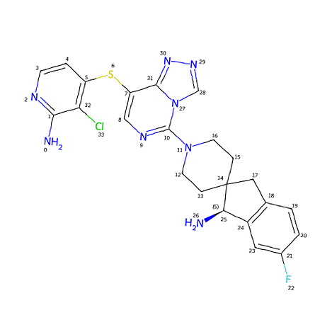 Nc1nccc(Sc2cnc(N3CCC4(CC3)Cc3ccc(F)cc3[C@H]4N)n3cnnc23)c1Cl